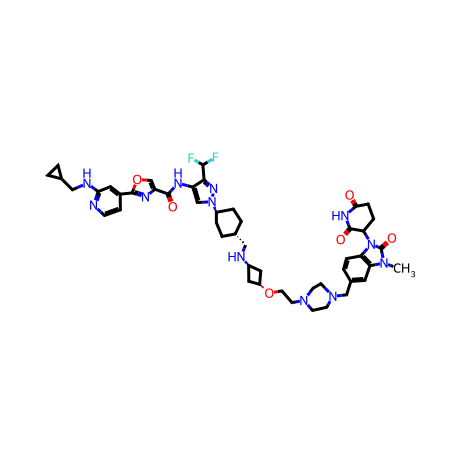 Cn1c(=O)n(C2CCC(=O)NC2=O)c2ccc(CN3CCN(CCO[C@H]4C[C@H](NC[C@H]5CC[C@H](n6cc(NC(=O)c7coc(-c8ccnc(NCC9CC9)c8)n7)c(C(F)F)n6)CC5)C4)CC3)cc21